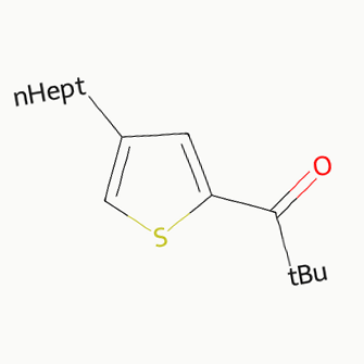 CCCCCCCc1csc(C(=O)C(C)(C)C)c1